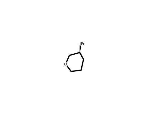 CC(C)[C@H]1CCCOC1